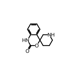 O=C1Nc2ccccc2C2(CCCNC2)O1